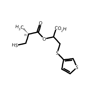 C[C@@H](CS)C(=O)OC(CSc1ccsc1)C(=O)O